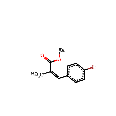 CCC(C)OC(=O)C(=Cc1ccc(Br)cc1)C(=O)O